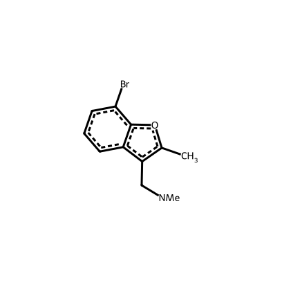 CNCc1c(C)oc2c(Br)cccc12